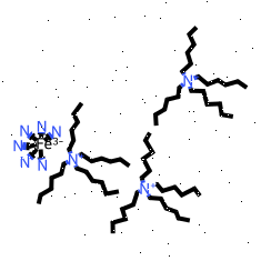 CCCCCC[N+](CCCCCC)(CCCCCC)CCCCCC.CCCCCC[N+](CCCCCC)(CCCCCC)CCCCCC.CCCCCC[N+](CCCCCC)(CCCCCC)CCCCCC.N#[C][Fe-3]([C]#N)([C]#N)([C]#N)([C]#N)[C]#N